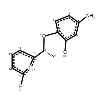 C[C@@H](Oc1ccc(N)cc1Cl)c1cccc(F)c1